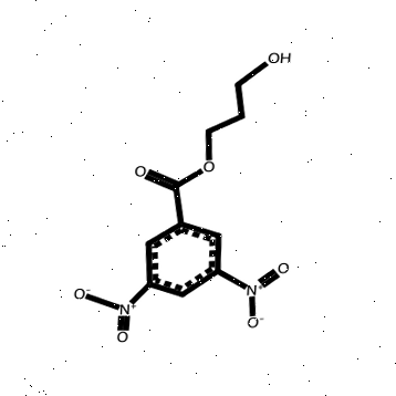 O=C(OCCCO)c1cc([N+](=O)[O-])cc([N+](=O)[O-])c1